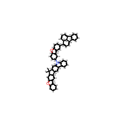 CC1(C)c2cc3oc4ccccc4c3cc2-c2cc3c4ccccc4n(-c4ccc5oc6ccc(C7=CC=C8c9ccccc9C9=CC=CC7C98)cc6c5c4)c3cc21